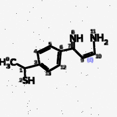 CC(S)c1ccc(C(=N)/C=C\N)cc1